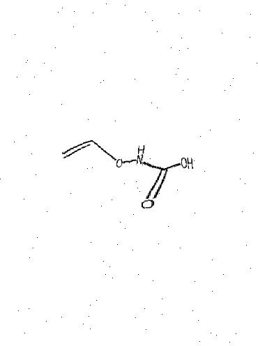 C=CONC(=O)O